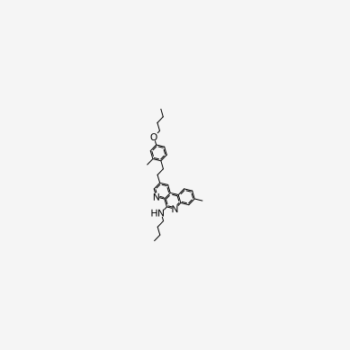 CCCCNc1nc2cc(C)ccc2c2cc(CCc3ccc(OCCCC)cc3C)cnc12